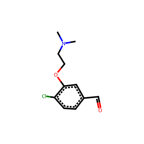 CN(C)CCOc1cc(C=O)ccc1Cl